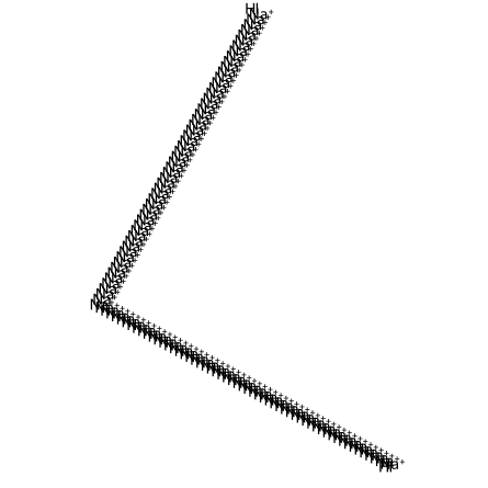 I.I.[Na+].[Na+].[Na+].[Na+].[Na+].[Na+].[Na+].[Na+].[Na+].[Na+].[Na+].[Na+].[Na+].[Na+].[Na+].[Na+].[Na+].[Na+].[Na+].[Na+].[Na+].[Na+].[Na+].[Na+].[Na+].[Na+].[Na+].[Na+].[Na+].[Na+].[Na+].[Na+].[Na+].[Na+].[Na+].[Na+].[Na+].[Na+].[Na+].[Na+].[Na+].[Na+].[Na+].[Na+].[Na+].[Na+].[Na+].[Na+].[Na+].[Na+].[Na+].[Na+].[Na+].[Na+].[Na+].[Na+].[Na+].[Na+].[Na+].[Na+].[Na+].[Na+].[Na+].[Na+].[Na+].[Na+].[Na+].[Na+].[Na+].[Na+].[Na+].[Na+].[Na+].[Na+].[Na+].[Na+].[Na+].[Na+].[Na+].[Na+].[Na+].[Na+].[Na+].[Na+].[Na+].[Na+].[Na+].[Na+].[Na+].[Na+].[Na+].[Na+].[Na+].[Na+].[Na+].[Na+].[Na+].[Na+].[Na+].[Na+].[Na+].[Na+].[Na+].[Na+].[Na+].[Na+].[Na+].[Na+].[Na+].[Na+].[Na+]